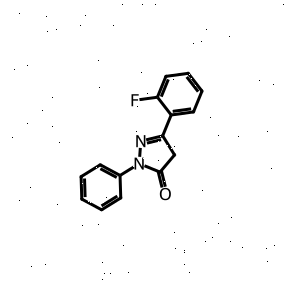 O=C1CC(c2ccccc2F)=NN1c1ccccc1